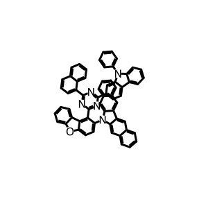 c1ccc(-n2c3ccccc3c3ccc(-c4nc(-c5cccc6ccccc56)nc(-c5c(-n6c7cc8ccccc8cc7c7cc8ccccc8cc76)ccc6oc7ccccc7c56)n4)cc32)cc1